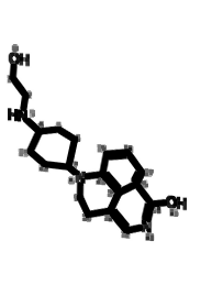 OCCNC1CCC(N2CCc3cnc(O)c4cccc2c34)CC1